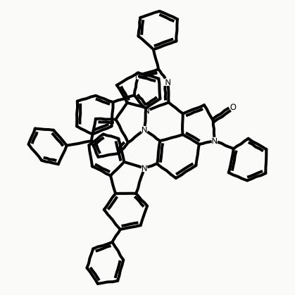 O=c1cc(-c2nc(-c3ccccc3)nc(-c3ccccc3)n2)c2c(-n3c4ccccc4c4cc(-c5ccccc5)ccc43)c(-n3c4ccccc4c4cc(-c5ccccc5)ccc43)ccc2n1-c1ccccc1